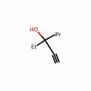 [C]#CC(O)(CC)C(C)C